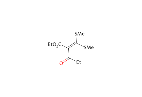 CCOC(=O)C(C(=O)CC)=C(SC)SC